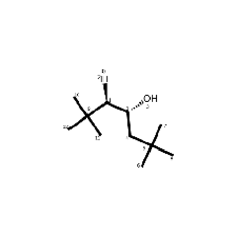 [2H][C@@H]([C@H](O)CC(C)(C)C)C(C)(C)C